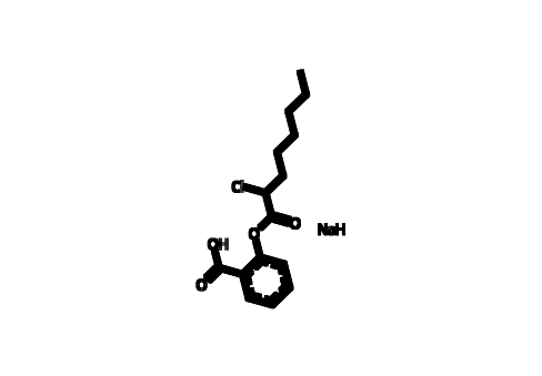 CCCCCCC(Cl)C(=O)Oc1ccccc1C(=O)O.[NaH]